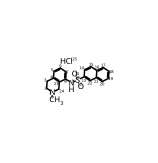 CN1CCc2cccc(NS(=O)(=O)c3ccc4ccccc4c3)c2C1.Cl